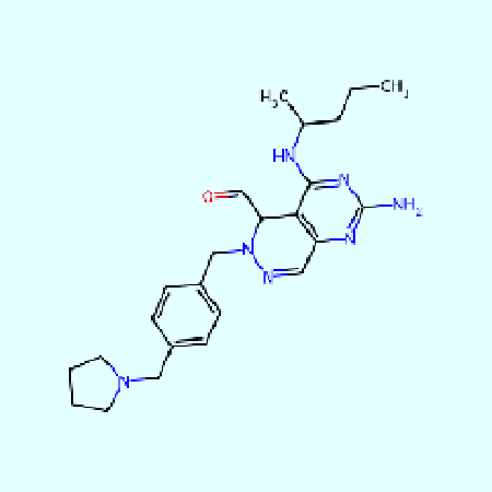 CCCC(C)Nc1nc(N)nc2c1C(C=O)N(Cc1ccc(CN3CCCC3)cc1)N=C2